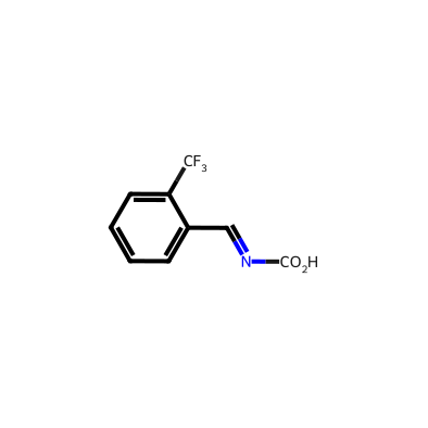 O=C(O)N=Cc1ccccc1C(F)(F)F